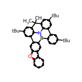 CC(C)(C)c1ccc2c(c1)-c1cc(C(C)(C)C)cc3c1N1B2c2cc4c(cc2-c2cc(C(C)(C)C)cc(c21)C3(C)C)oc1ccccc14